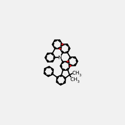 CC1(C)c2ccc(N(c3ccccc3-c3ccccc3)c3ccccc3-c3ccccc3)cc2-c2c(-c3ccccc3)cccc21